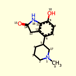 CN1CCCC(c2ccc(O)c3c2CC(=O)N3)C1